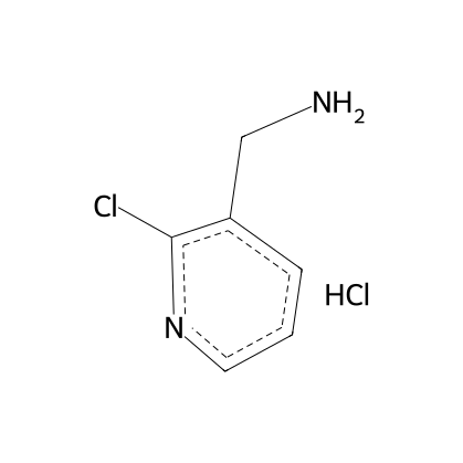 Cl.NCc1cccnc1Cl